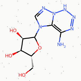 NC1=C2N(N=CN2C2O[C@H](CO)[C@@H](O)[C@H]2O)NN=N1